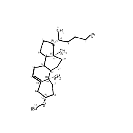 CC(C)CCCC(C)[C@H]1CCC2C3CC=C4C[C@H](OC(C)(C)C)CC[C@]4(C)C3CC[C@@]21C